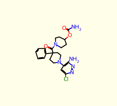 NC(=O)OC1CCN(C(=O)C2(c3ccccc3)CCN(c3cc(Cl)nnc3N)CC2)CC1